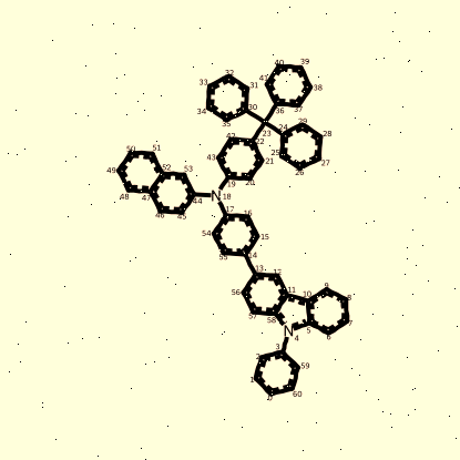 c1ccc(-n2c3ccccc3c3cc(-c4ccc(N(c5ccc(C(c6ccccc6)(c6ccccc6)c6ccccc6)cc5)c5ccc6ccccc6c5)cc4)ccc32)cc1